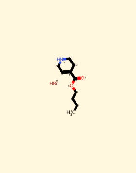 Br.CCCCOC(=O)C1=CCNCC1